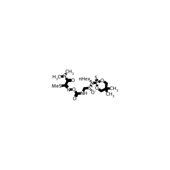 CCCCCCN([S+]([O-])CNC(=O)ON=C(SC)C(=O)N(C)C)P1(=S)OCC(C)(C)CO1